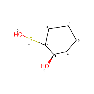 OSC1CCCC[C@H]1O